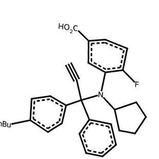 C#CC(c1ccccc1)(c1ccc(CCCC)cc1)N(c1cc(C(=O)O)ccc1F)C1CCCC1